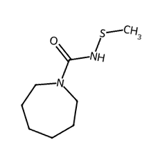 CSNC(=O)N1CCCCCC1